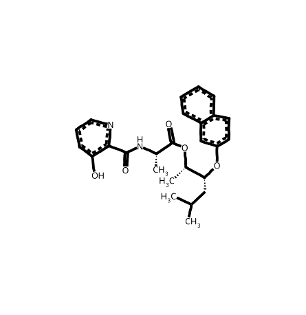 CC(C)C[C@@H](Oc1ccc2ccccc2c1)[C@H](C)OC(=O)[C@H](C)NC(=O)c1ncccc1O